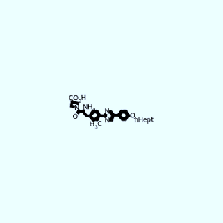 CCCCCCCOc1ccc(-c2cnc(-c3ccc(CC(N)C(=O)N4CC(C(=O)O)C4)cc3C)nc2)cc1